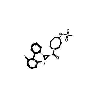 C[C@H]1[C@H](C(=O)N2CCC[C@H](NS(C)(=O)=O)CC2)[C@H]1c1ccccc1-c1c(F)cccc1F